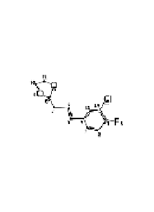 Fc1ccc(C=CC[C]2OCCO2)cc1Cl